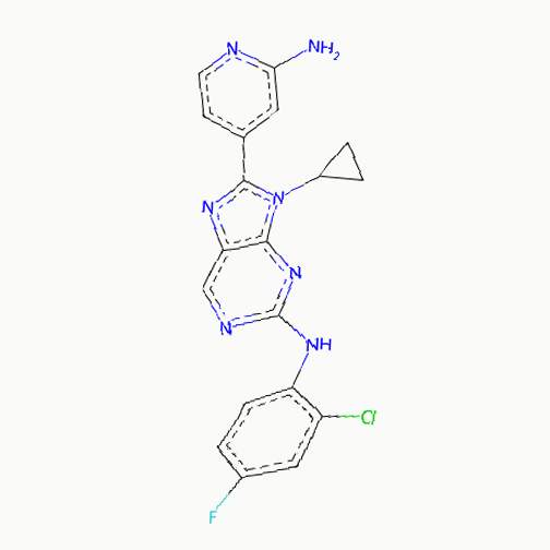 Nc1cc(-c2nc3cnc(Nc4ccc(F)cc4Cl)nc3n2C2CC2)ccn1